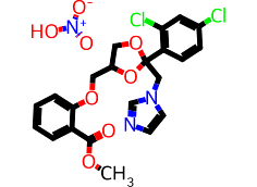 COC(=O)c1ccccc1OCC1COC(Cn2ccnc2)(c2ccc(Cl)cc2Cl)O1.O=[N+]([O-])O